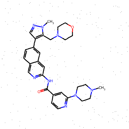 CN1CCN(c2cc(C(=O)Nc3cc4cc(-c5cnn(C)c5CN5CCOCC5)ccc4cn3)ccn2)CC1